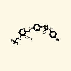 Cc1c(OCC(F)(F)F)ccnc1CSc1ccc(NC(=O)Nc2ccc(Br)cc2)cc1